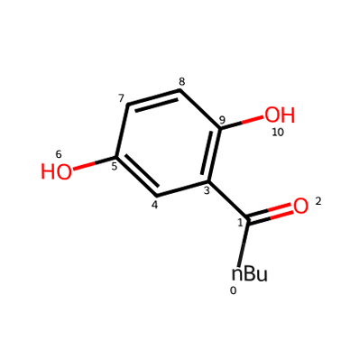 CCCCC(=O)c1cc(O)ccc1O